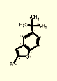 CC(C)(C)c1ccc2oc(Br)cc2c1